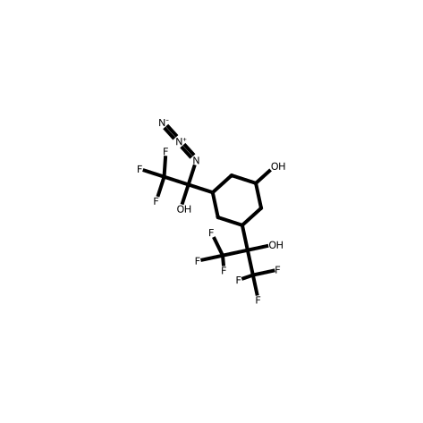 [N-]=[N+]=NC(O)(C1CC(O)CC(C(O)(C(F)(F)F)C(F)(F)F)C1)C(F)(F)F